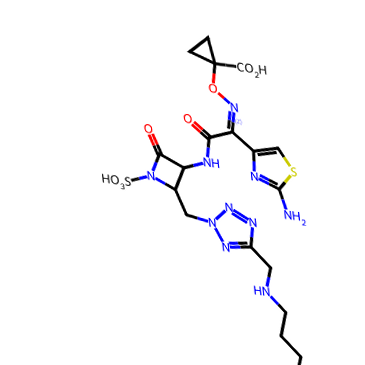 NCCCNCc1nnn(CC2C(NC(=O)/C(=N\OC3(C(=O)O)CC3)c3csc(N)n3)C(=O)N2S(=O)(=O)O)n1